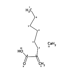 C=C(CCCCCC)C(=O)O.[CaH2]